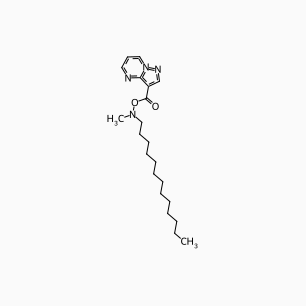 CCCCCCCCCCCCCN(C)OC(=O)c1cnn2cccnc12